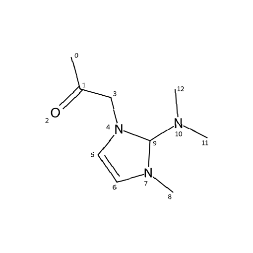 CC(=O)CN1C=CN(C)C1N(C)C